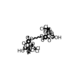 COc1cc2c(cc1OCCCCCOc1cc3c(cc1OC)C(=O)N1C[C@H](O)C[C@H]1[C@H](O[Si](C)(C)C(C)(C)C)N3C(=O)OCC(Cl)(Cl)Cl)N(C(=O)OCC(Cl)(Cl)Cl)[C@@H](O[Si](C)(C)C(C)(C)C)[C@@H]1C[C@@H](O)CN1C2=O